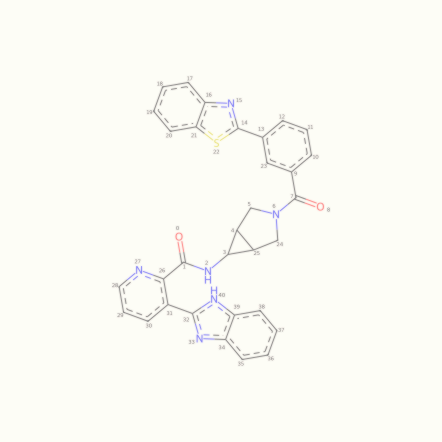 O=C(NC1C2CN(C(=O)c3cccc(-c4nc5ccccc5s4)c3)CC21)c1ncccc1-c1nc2ccccc2[nH]1